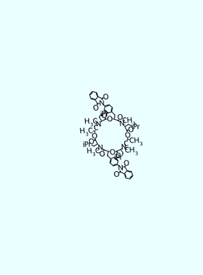 CC(C)CC1C(=O)OC(Cc2ccc(N3C(=O)c4ccccc4C3=O)cc2)C(=O)N(C)C(CC(C)C)C(=O)OC(C)CN(C)C(CC(C)C)C(=O)OC(Cc2ccc(N3C(=O)c4ccccc4C3=O)cc2)C(=O)N(C)C(CC(C)C)C(=O)OC(C)CN1C